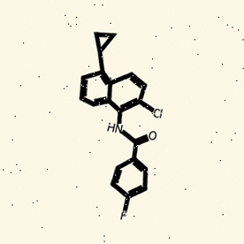 O=C(Nc1c(Cl)ccc2c(C3CC3)cccc12)c1ccc(F)cc1